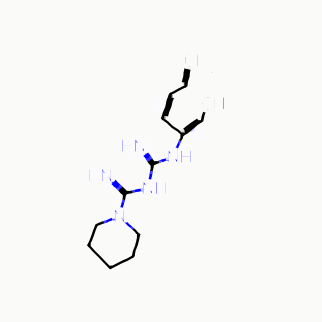 C=C/C=C\C(=C/C)NC(=N)NC(=N)N1CCCCC1